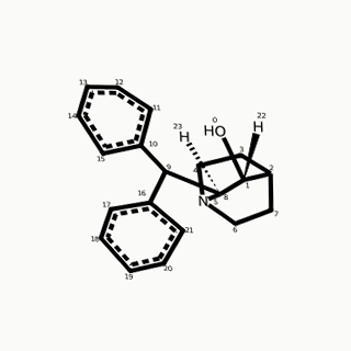 O[C@@H]1C2CCN(CC2)[C@H]1C(c1ccccc1)c1ccccc1